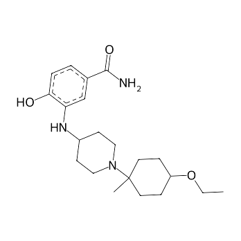 CCOC1CCC(C)(N2CCC(Nc3cc(C(N)=O)ccc3O)CC2)CC1